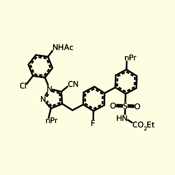 CCCc1ccc(S(=O)(=O)NC(=O)OCC)c(-c2ccc(Cc3c(CCC)nn(-c4cc(NC(C)=O)ccc4Cl)c3C#N)c(F)c2)c1